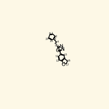 c1ccc(CSc2nnc(-c3ccc4c(c3)CCO4)o2)cc1